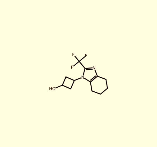 OC1CC(n2c(C(F)(F)F)nc3c2CCCC3)C1